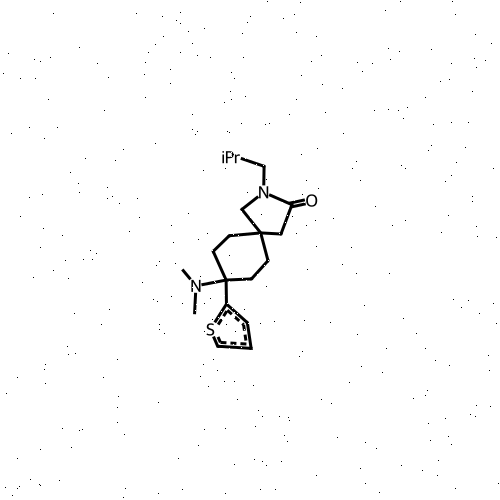 CC(C)CN1CC2(CCC(c3cccs3)(N(C)C)CC2)CC1=O